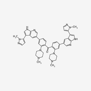 CN1CCN(c2cc(-c3cnc4[nH]cc(-c5ccnn5C)c4c3)ccc2C(=O)c2ccc(-c3cnc4[nH]cc(-c5ccnn5C)c4c3)cc2N2CCN(C)CC2)CC1